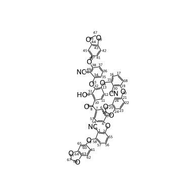 N#Cc1c(Oc2ccc(C(=O)c3ccc(Oc4cccc(Oc5ccc6c(c5)OCO6)c4C#N)c(Oc4cccc(Oc5ccc6c(c5)OCO6)c4C#N)c3O)cc2)cccc1Oc1ccc2c(c1)OCO2